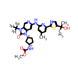 [2H]C([2H])([2H])n1c(=O)n([C@@H]2CC[C@@H](NC(=O)OC)C2)c2cc(Nc3cc(C)cc(-c4ncc(C(C)(C)O)s4)n3)ncc21